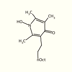 CCCCCCCCCCc1c(C)n(O)c(C)c(C)c1=O